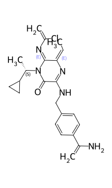 C=C(Cl)/N=C1\C(=C/C)N=C(NCc2ccc(C(=C)N)cc2)C(=O)N1[C@@H](C)C1CC1